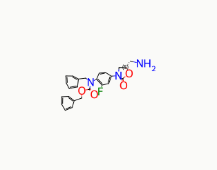 NC[C@H]1CN(c2ccc(N(Cc3ccccc3)C(=O)OCc3ccccc3)c(F)c2)C(=O)O1